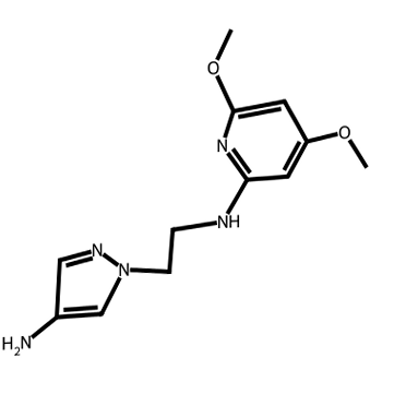 COc1cc(NCCn2cc(N)cn2)nc(OC)c1